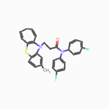 Cc1ccc2c(c1)N(CCC(=O)N(c1ccc(F)cc1)C1C=CC=C(F)C=C1)C1=C(C=CCC=C1)S2